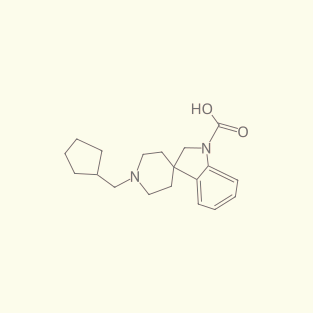 O=C(O)N1CC2(CCN(CC3CCCC3)CC2)c2ccccc21